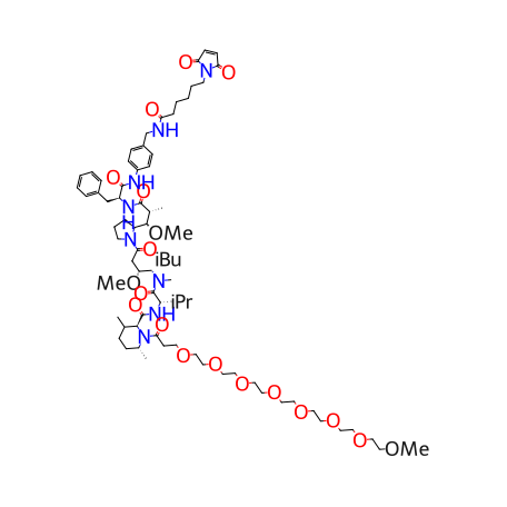 CC[C@H](C)[C@@H]([C@@H](CC(=O)N1CCC[C@H]1[C@H](OC)[C@@H](C)C(=O)N[C@@H](Cc1ccccc1)C(=O)Nc1ccc(CNC(=O)CCCCCN2C(=O)C=CC2=O)cc1)OC)N(C)C(=O)[C@@H](NC(=O)[C@@H]1C(C)CC[C@@H](C)N1C(=O)CCOCCOCCOCCOCCOCCOCCOCCOC)C(C)C